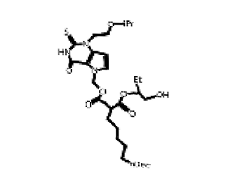 CCCCCCCCCCCCCCCC(C(=O)OCn1ccc2c1c(=O)[nH]c(=S)n2CCOC(C)C)C(=O)OC(CC)CO